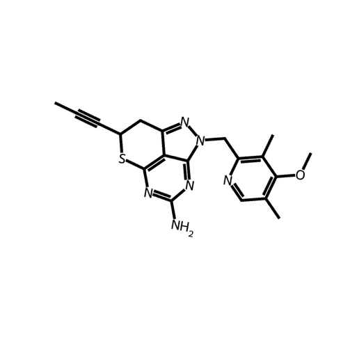 CC#CC1Cc2nn(Cc3ncc(C)c(OC)c3C)c3nc(N)nc(c23)S1